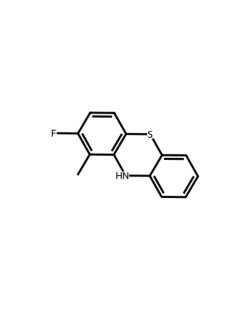 Cc1c(F)ccc2c1Nc1ccccc1S2